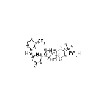 Cc1cc(Nc2cc(C(F)(F)F)ccn2)nc(-n2cnc(C3(O)CCC(C(C)(C)C(=O)O)CC3)c2)c1